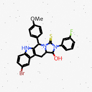 COc1ccc(C2c3[nH]c4ccc(Br)cc4c3CC3C(O)N(c4cccc(F)c4)C(=S)N23)cc1